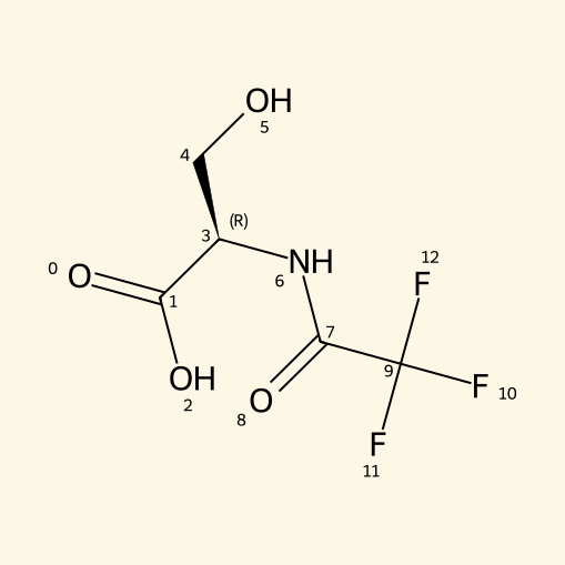 O=C(O)[C@@H](CO)NC(=O)C(F)(F)F